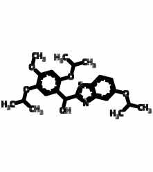 COc1cc(OC(C)C)c(C(O)c2nc3cc(OC(C)C)ccc3s2)cc1OC(C)C